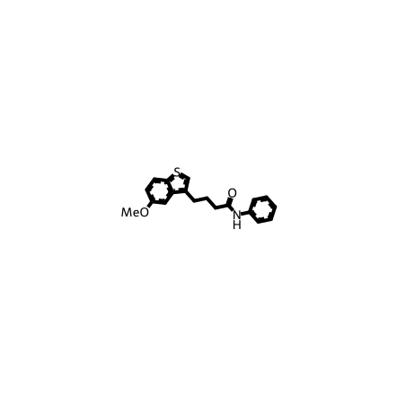 COc1ccc2scc(CCCC(=O)Nc3ccccc3)c2c1